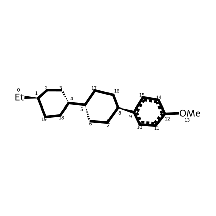 CC[C@H]1CC[C@H]([C@H]2CC[C@H](c3ccc(OC)cc3)CC2)CC1